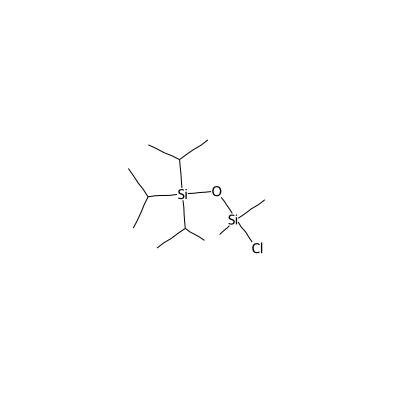 CC(C)[Si](O[Si](C)(C)Cl)(C(C)C)C(C)C